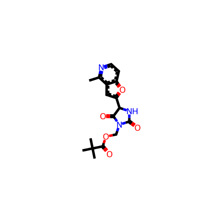 Cc1nccc2oc(C3NC(=O)N(COC(=O)C(C)(C)C)C3=O)cc12